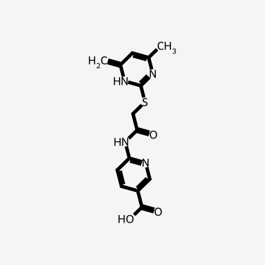 C=C1C=C(C)N=C(SCC(=O)Nc2ccc(C(=O)O)cn2)N1